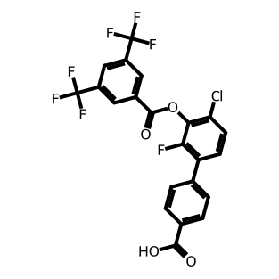 O=C(O)c1ccc(-c2ccc(Cl)c(OC(=O)c3cc(C(F)(F)F)cc(C(F)(F)F)c3)c2F)cc1